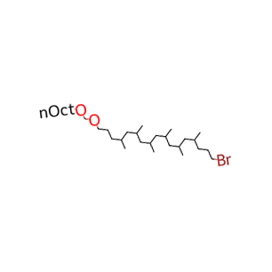 CCCCCCCCOCOCCCC(C)CC(C)CC(C)CC(C)CC(C)CC(C)CCCBr